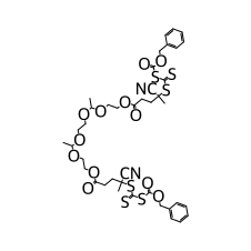 CC(OCCOC(=O)CCC(C)(C#N)SC(=S)SC(=O)OCc1ccccc1)OCCOC(C)OCCOC(=O)CCC(C)(C#N)SC(=S)SC(=O)OCc1ccccc1